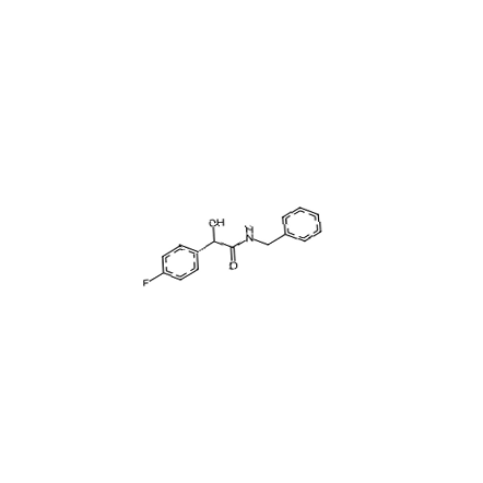 O=C(NCc1ccccc1)C(O)c1ccc(F)cc1